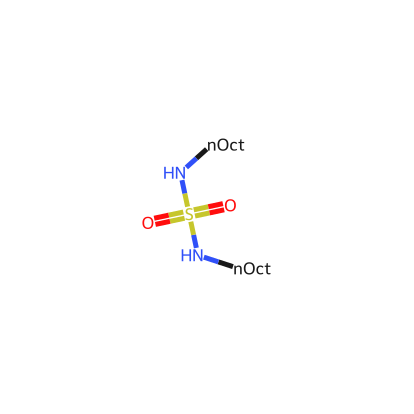 CCCCCCCCNS(=O)(=O)NCCCCCCCC